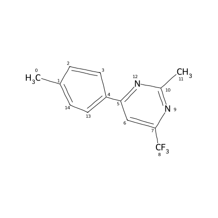 Cc1ccc(-c2cc(C(F)(F)F)nc(C)n2)cc1